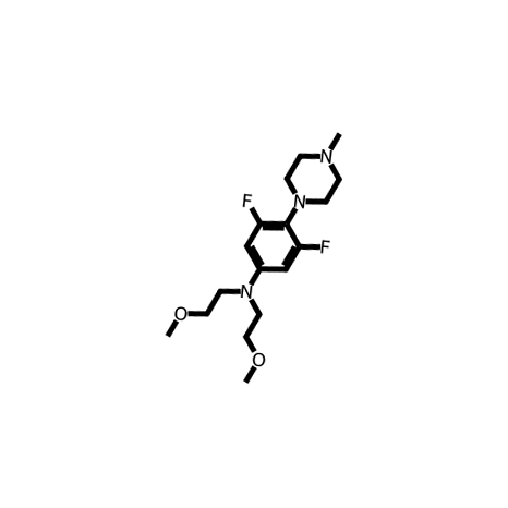 COCCN(CCOC)c1cc(F)c(N2CCN(C)CC2)c(F)c1